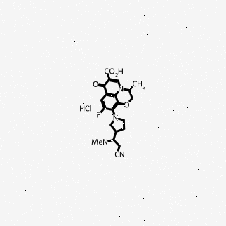 CNC(CC#N)C1CCN(c2c(F)cc3c(=O)c(C(=O)O)cn4c3c2OCC4C)C1.Cl